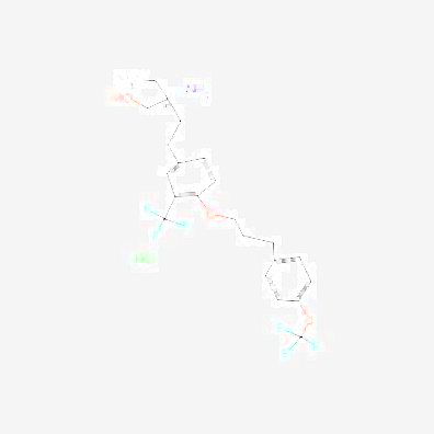 CC[C@](N)(CO)CCc1ccc(OCCCc2ccc(OC(F)(F)F)cc2)c(C(F)(F)F)c1.Cl